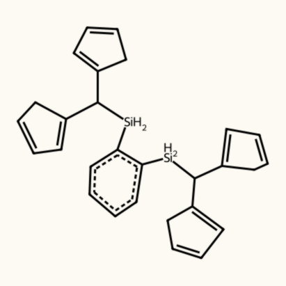 C1=CCC(C([SiH2]c2ccccc2[SiH2]C(C2=CC=CC2)C2=CC=CC2)C2=CC=CC2)=C1